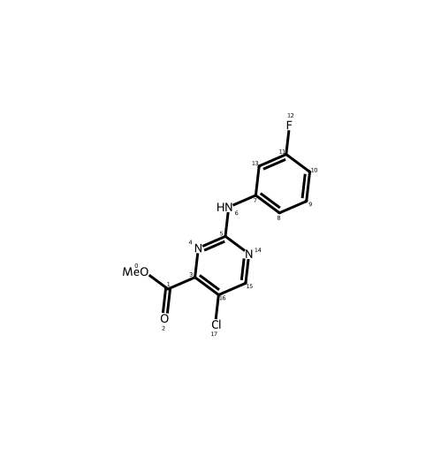 COC(=O)c1nc(Nc2cccc(F)c2)ncc1Cl